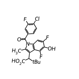 Cc1c(C(C(=O)O)C(C)(C)C)c2c(F)c(O)c(F)cc2n1C(=O)c1ccc(Cl)c(F)c1